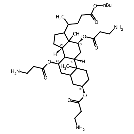 CCCCOC(=O)CCC(C)C1CC[C@H]2C3[C@H](OC(=O)CCN)CC4C[C@H](OC(=O)CCN)CCC4(C)[C@H]3C[C@H](OC(=O)CCN)C12C